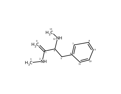 C=C(NC)C(Cc1ccccc1)NC